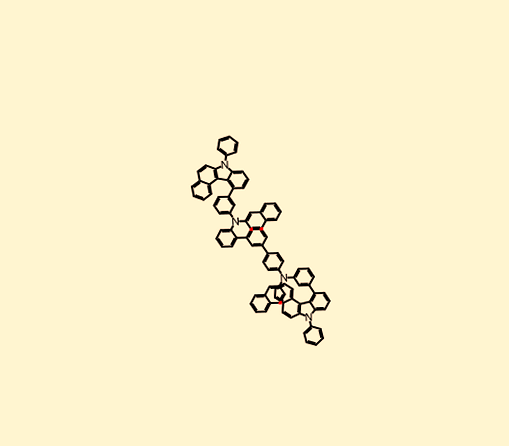 c1ccc(-n2c3cccc(-c4cccc(N(c5ccc(-c6cccc(-c7ccccc7N(c7cccc(-c8cccc9c8c8c%10ccccc%10ccc8n9-c8ccccc8)c7)c7ccc8ccccc8c7)c6)cc5)c5ccc6ccccc6c5)c4)c3c3c4ccccc4ccc32)cc1